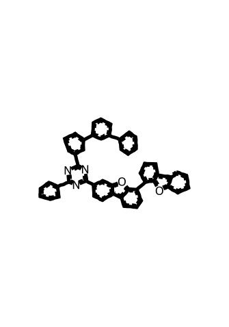 c1ccc(-c2cccc(-c3cccc(-c4nc(-c5ccccc5)nc(-c5ccc6c(c5)oc5c(-c7cccc8c7oc7ccccc78)cccc56)n4)c3)c2)cc1